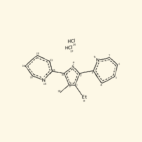 CCc1c(-c2ccccn2)sc(-c2ccccn2)c1C.Cl.Cl